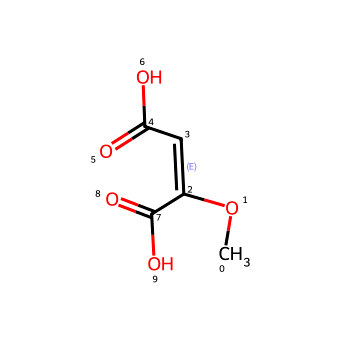 CO/C(=C/C(=O)O)C(=O)O